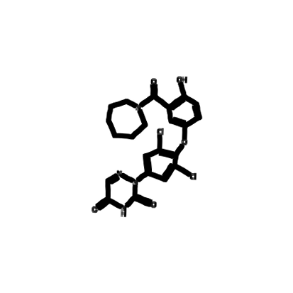 O=C(c1cc(Oc2c(Cl)cc(-n3ncc(=O)[nH]c3=O)cc2Cl)ccc1O)N1CCCCCC1